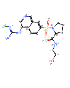 NC(=NCl)Nc1cncc2cc(S(=O)(=O)N3CCCC3C(=O)NCCO)ccc12